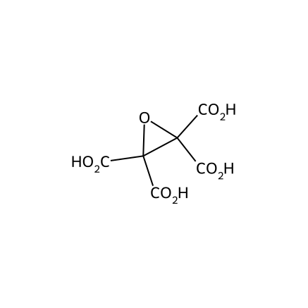 O=C(O)C1(C(=O)O)OC1(C(=O)O)C(=O)O